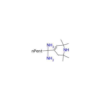 CCCCCC(N)(N)C1=CC(C)(C)NC(C)(C)C1